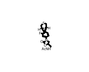 CC(=O)NCC1CN(c2ccc(N3[C@@H]4CC[C@H]3CSC4)c(F)c2)C(=O)O1